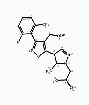 COCc1c(-c2c(C)cccc2F)noc1C1C=NN(C[C@@H](C)O)C1C(F)(F)F